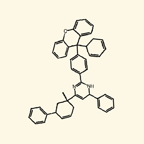 CC1(C2=CC(c3ccccc3)NC(c3ccc(C4(C5C=CC=CC5)c5ccccc5Oc5ccccc54)cc3)=N2)CC=CC(c2ccccc2)C1